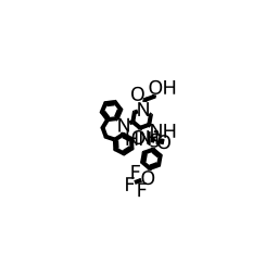 N=S(=O)(NC1CN(C(=O)CO)CC(N2c3ccccc3CCc3ccccc32)C1O)c1ccc(OC(F)(F)F)cc1